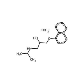 CC(C)NCC(O)COc1cccc2ccccc12.[PbH2]